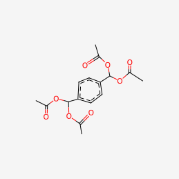 CC(=O)OC(OC(C)=O)c1ccc(C(OC(C)=O)OC(C)=O)cc1